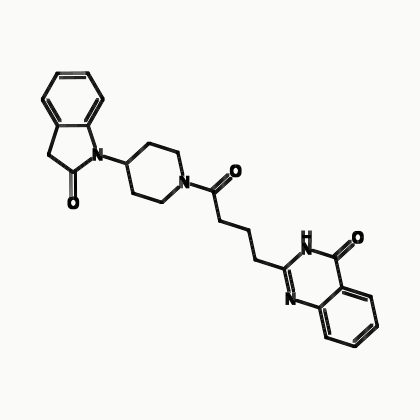 O=C(CCCc1nc2ccccc2c(=O)[nH]1)N1CCC(N2C(=O)Cc3ccccc32)CC1